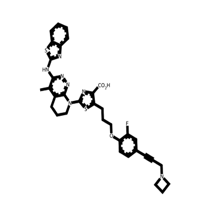 Cc1c(Nc2nc3ccccc3s2)nnc2c1CCCN2c1nc(C(=O)O)c(CCCOc2ccc(C#CCN3CCC3)cc2F)s1